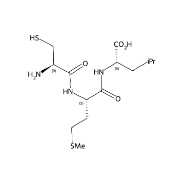 CSCC[C@H](NC(=O)[C@@H](N)CS)C(=O)N[C@@H](CC(C)C)C(=O)O